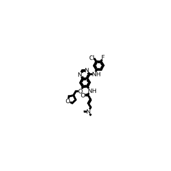 CN(C)C/C=C/C(=O)Nc1cc2c(Nc3ccc(F)c(Cl)c3)ncnc2cc1OCC1CCOC1